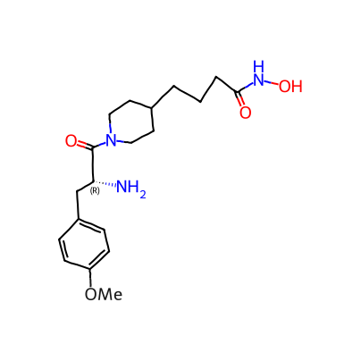 COc1ccc(C[C@@H](N)C(=O)N2CCC(CCCC(=O)NO)CC2)cc1